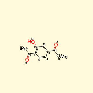 COC(=O)c1ccc(C(=O)C(C)C)c(O)c1